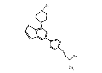 CCN1CCN(c2nc(-c3ccc(SC[C@@H](C)O)cc3)cc3ccsc23)CC1